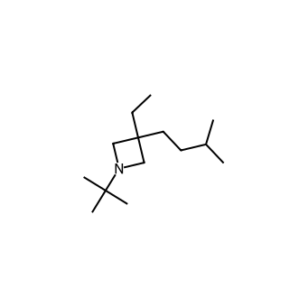 CCC1(CCC(C)C)CN(C(C)(C)C)C1